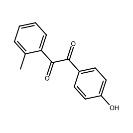 Cc1ccccc1C(=O)C(=O)c1ccc(O)cc1